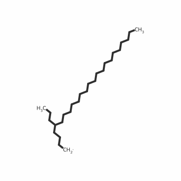 [CH2]CCCC(CCC)CCCCCCCCCCCCCCCCCCC